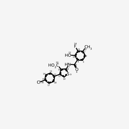 Cc1ccc(C(=O)Nc2scc(-c3ccc(Cl)cc3)c2C(=O)O)c(O)c1F